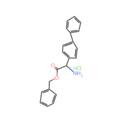 Cl.NC(C(=O)OCc1ccccc1)c1ccc(-c2ccccc2)cc1